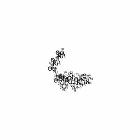 CC[C@H](C)[C@@H]([C@@H](CC(=O)N1CCC[C@H]1[C@H](OC)[C@@H](C)C(=O)N[C@@H](Cc1ccccc1)C(=O)NCCCOC(=O)[C@H](C)NC(=O)CCNC(=O)OC)OC)N(C)C(=O)[C@@H](NC(=O)[C@H](C(C)C)N(C)C)C(C)C